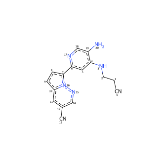 N#CCCNc1cc(-c2ccc3cc(C#N)cnn23)ncc1N